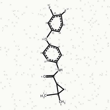 CC1(C)CC1C(=O)Nc1ccc(Oc2ccc(F)c(F)c2)cn1